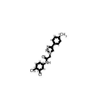 Cc1ccc(-c2cn(CC(=O)Nc3ccc(Cl)c(Cl)c3)nn2)cc1